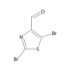 O=Cc1nc(Br)sc1Br